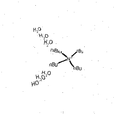 CCCC[N+](CCCC)(CCCC)CCCC.O.O.O.O.O.[OH-]